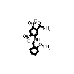 COc1ccccc1CNc1cc(C(N)=O)c([N+](=O)[O-])cc1[N+](=O)[O-]